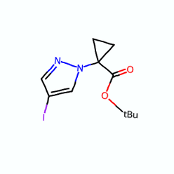 CC(C)(C)OC(=O)C1(n2cc(I)cn2)CC1